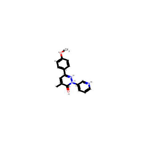 Cc1cc(-c2ccc(OC(F)(F)F)cc2)nn(-c2cccnc2)c1=O